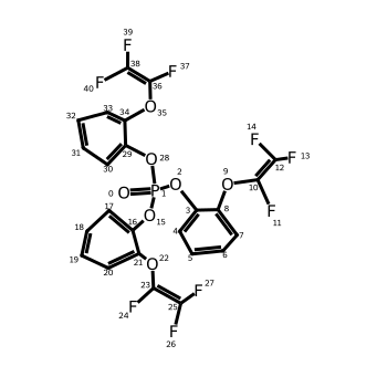 O=P(Oc1ccccc1OC(F)=C(F)F)(Oc1ccccc1OC(F)=C(F)F)Oc1ccccc1OC(F)=C(F)F